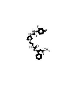 Cc1cc(NC(=O)NCCN2CCC(NC(=O)Nc3ccc(F)cc3F)C2)c2ccccc2n1